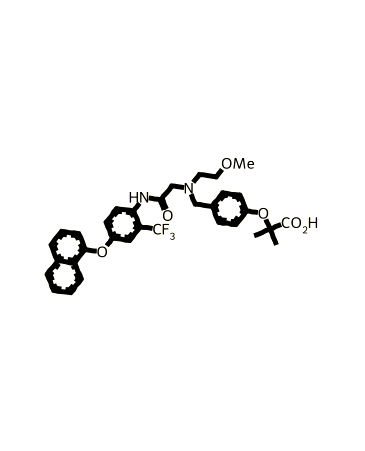 COCCN(CC(=O)Nc1ccc(Oc2cccc3ccccc23)cc1C(F)(F)F)Cc1ccc(OC(C)(C)C(=O)O)cc1